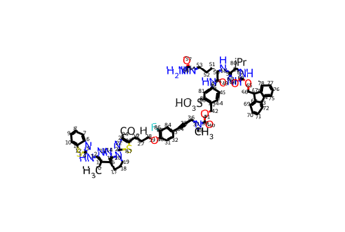 Cc1c(Nc2nc3ccccc3s2)nnc2c1CCCN2c1nc(C(=O)O)c(CCCOc2ccc(C#CCN(C)C(=O)OCc3ccc(NC(=O)[C@H](CCCNC(N)=O)NC(=N)[C@@H](NC(=O)OCC4c5ccccc5-c5ccccc54)C(C)C)cc3S(=O)(=O)O)cc2F)s1